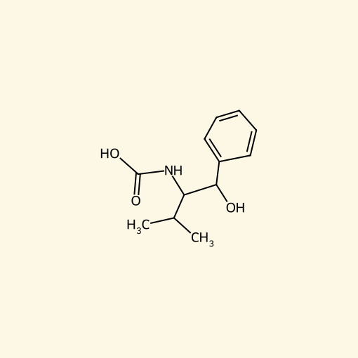 CC(C)C(NC(=O)O)C(O)c1ccccc1